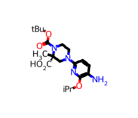 CC(C)Oc1nc(N2CCN(C(=O)OC(C)(C)C)[C@](C)(C(=O)O)C2)ccc1N